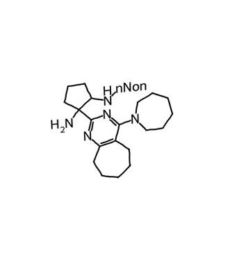 CCCCCCCCCNC1CCCC1(N)c1nc2c(c(N3CCCCCC3)n1)CCCCC2